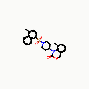 Cc1cccc2c1N(C1CCN(S(=O)(=O)c3ccc(C)c4ccccc34)CC1)C(=O)OC2